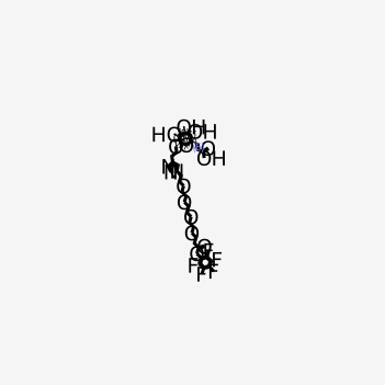 O=C(O)/C=C/[C@H]1O[C@H](OCCc2cn(CCOCCOCCOCCOCCC(=O)Oc3c(F)c(F)c(F)c(F)c3F)nn2)[C@@H](O)[C@@H](O)[C@@H]1O